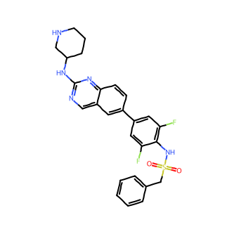 O=S(=O)(Cc1ccccc1)Nc1c(F)cc(-c2ccc3nc(NC4CCCNC4)ncc3c2)cc1F